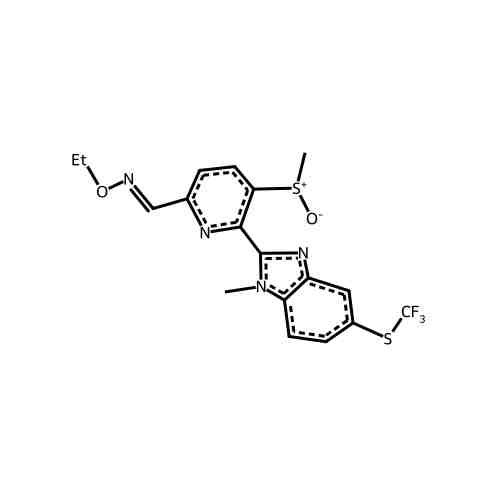 CCO/N=C/c1ccc([S+](C)[O-])c(-c2nc3cc(SC(F)(F)F)ccc3n2C)n1